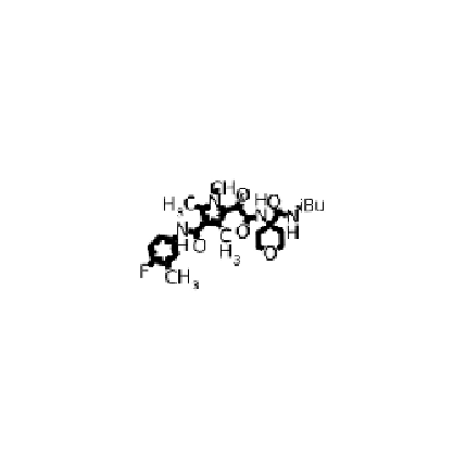 CCC(C)NC(=O)C1(NC(=O)C(=O)c2c(C)c(C(=O)Nc3ccc(F)c(C)c3)c(C)n2C)CCOCC1